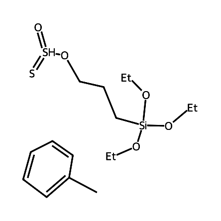 CCO[Si](CCCO[SH](=O)=S)(OCC)OCC.Cc1ccccc1